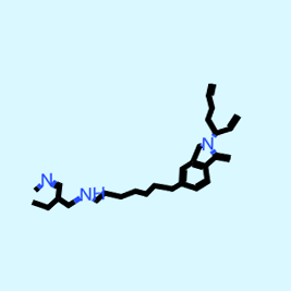 C=CCCC(C=C)N1Cc2cc(CCCCCCCNCC(/C=N\C)CC)ccc2C1=C